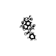 CCc1c(S(C)(=O)=O)cc(S(C)(=O)=O)c(C(=O)O[PH](=O)c2ccccc2)c1S(C)(=O)=O